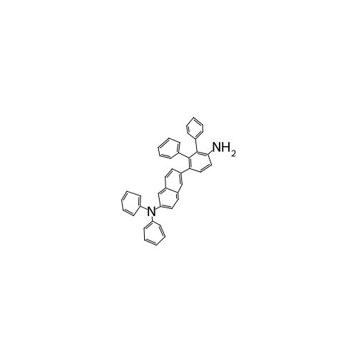 Nc1ccc(-c2ccc3cc(N(c4ccccc4)c4ccccc4)ccc3c2)c(-c2ccccc2)c1-c1ccccc1